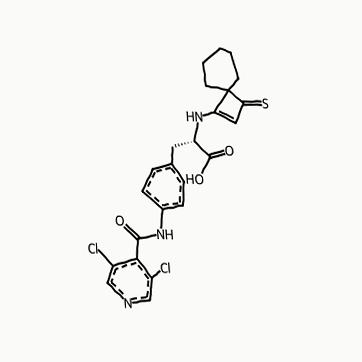 O=C(Nc1ccc(C[C@H](NC2=CC(=S)C23CCCCC3)C(=O)O)cc1)c1c(Cl)cncc1Cl